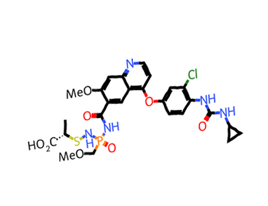 COCP(=O)(NS[C@@H](C)C(=O)O)NC(=O)c1cc2c(Oc3ccc(NC(=O)NC4CC4)c(Cl)c3)ccnc2cc1OC